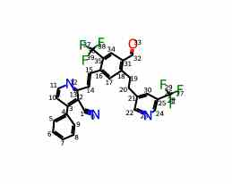 N#Cc1c(-c2ccccc2)ccnc1C=Cc1cc(CCc2cncc(C(F)(F)F)c2)c(C=O)cc1C(F)(F)F